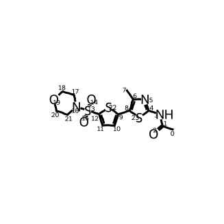 CC(=O)Nc1nc(C)c(-c2ccc(S(=O)(=O)N3CCOCC3)s2)s1